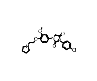 COc1cc(N2CC(=O)N(c3ccc(Cl)cc3)C2=O)ccc1OCCN1CCCC1